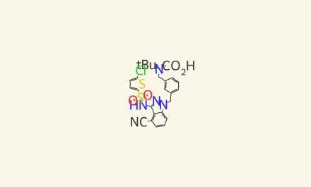 CC(C)(C)N(Cc1cccc(Cn2nc(NS(=O)(=O)c3ccc(Cl)s3)c3c(C#N)cccc32)c1)C(=O)O